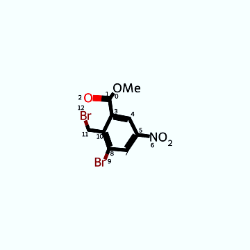 COC(=O)c1cc([N+](=O)[O-])cc(Br)c1CBr